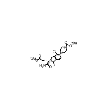 CC(C)(C)OC(=O)CC[C@@H](C(N)=O)N1Cc2c(ccc(N3CCN(C(=O)OC(C)(C)C)CC3)c2Cl)C1=O